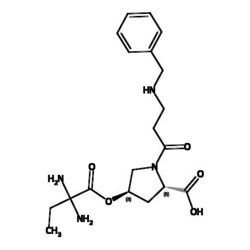 CCC(N)(N)C(=O)O[C@@H]1C[C@@H](C(=O)O)N(C(=O)CCNCc2ccccc2)C1